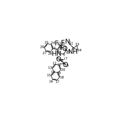 N#CC1(NC(=O)[C@H](CS(=O)(=O)c2ccc3ccccc3c2)N[C@@H](c2ccccc2)C(F)(F)F)CC1